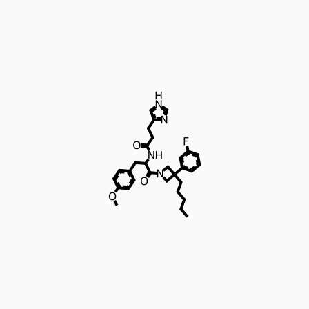 CCCCCC1(c2cccc(F)c2)CN(C(=O)C(Cc2ccc(OC)cc2)NC(=O)CCc2c[nH]cn2)C1